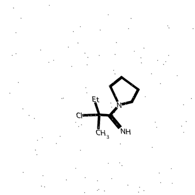 CCC(C)(Cl)C(=N)N1CCCC1